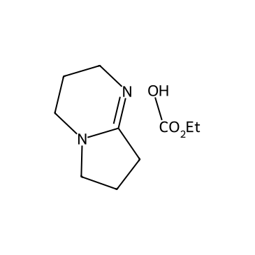 C1CN=C2CCCN2C1.CCOC(=O)O